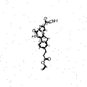 CCOC(=O)CCc1ccc2c(c1)Cc1c-2[nH]c(=O)c2nc(C(=O)O)cn12